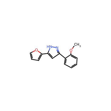 COc1ccccc1-c1cc(-c2ccco2)[nH]n1